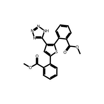 COC(=O)c1ccccc1-c1cc(-c2nnn[nH]2)c(-c2ccccc2C(=O)OC)s1